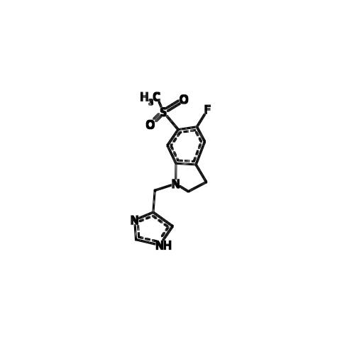 CS(=O)(=O)c1cc2c(cc1F)CCN2Cc1c[nH]cn1